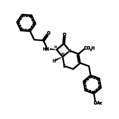 CC(=O)Oc1ccc(CC2=C(C(=O)O)N3C(=O)[C@@H](NC(=O)Cc4ccccc4)[C@@H]3SC2)cc1